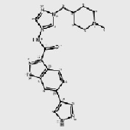 CN1CCC(Cn2cc(NC(=O)c3n[nH]c4cc(-c5cn[nH]c5)ccc34)cn2)CC1